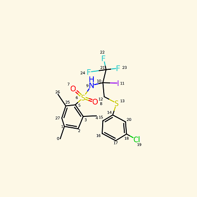 Cc1cc(C)c(S(=O)(=O)NC(I)(CSc2cccc(Cl)c2)C(F)(F)F)c(C)c1